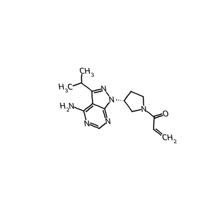 C=CC(=O)N1CC[C@@H](n2nc(C(C)C)c3c(N)ncnc32)C1